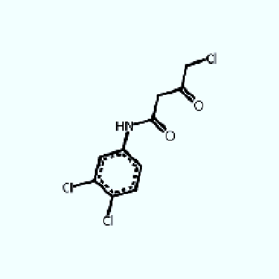 O=C(CCl)CC(=O)Nc1ccc(Cl)c(Cl)c1